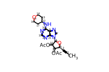 CC#C[C@@H]1O[C@@H](n2cnc3c(NC4CCOCC4)ncnc32)[C@H](OC(C)=O)[C@@H]1OC(C)=O